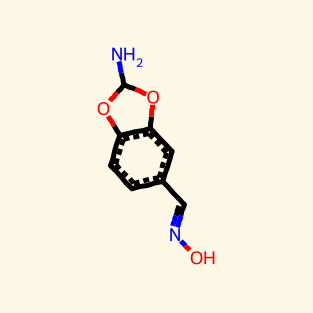 NC1Oc2ccc(C=NO)cc2O1